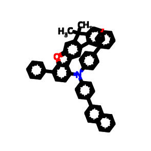 CC1(C)c2ccccc2-c2cc3c(cc21)oc1c(-c2ccccc2)ccc(N(c2ccc(-c4ccccc4)cc2)c2ccc(-c4ccc5ccccc5c4)cc2)c13